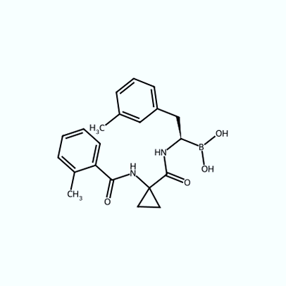 Cc1cccc(C[C@H](NC(=O)C2(NC(=O)c3ccccc3C)CC2)B(O)O)c1